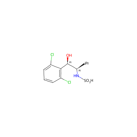 CC(C)[C@@H](NS(=O)(=O)O)[C@H](O)c1c(Cl)cccc1Cl